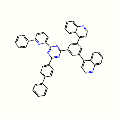 c1ccc(-c2ccc(-c3nc(-c4cc(-c5ccnc6ccccc56)cc(-c5ccnc6ccccc56)c4)nc(-c4cccc(-c5ccccc5)n4)n3)cc2)cc1